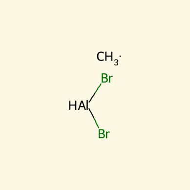 [Br][AlH][Br].[CH3]